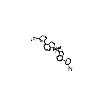 C[C](C)=[Hf]([CH3])([CH3])([CH]1C=Cc2c(-c3cccc(C(C)C)c3)cccc21)[CH]1C=Cc2c(-c3cccc(C(C)C)c3)cccc21